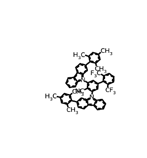 Cc1cc(C)c(-c2ccc3c4ccccc4n(-c4cc(-c5c(C(F)(F)F)cccc5C(F)(F)F)cc(-n5c6ccccc6c6ccc(-c7c(C)cc(C)cc7C)cc65)c4C#N)c3c2)c(C)c1